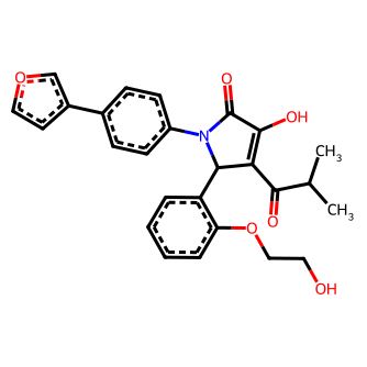 CC(C)C(=O)C1=C(O)C(=O)N(c2ccc(-c3ccoc3)cc2)C1c1ccccc1OCCO